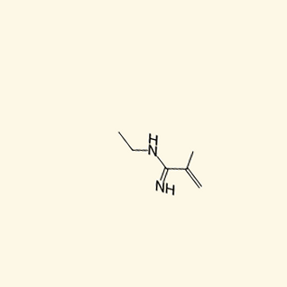 C=C(C)C(=N)NCC